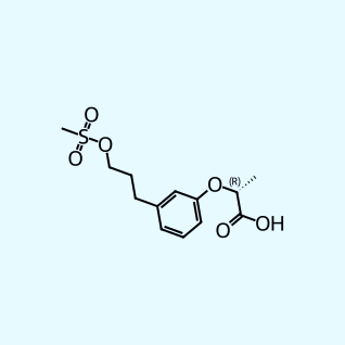 C[C@@H](Oc1cccc(CCCOS(C)(=O)=O)c1)C(=O)O